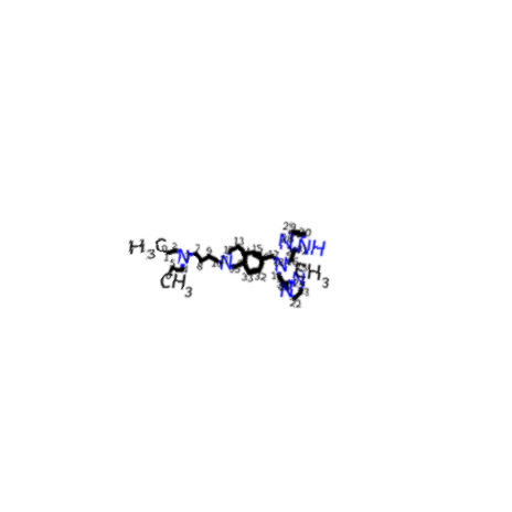 CCCN(CCC)CCCCN1CCc2cc(CN(CC3=NCCN3C)Cc3ncc[nH]3)ccc2C1